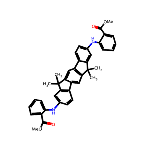 COC(=O)c1ccccc1Nc1ccc2c(c1)C(C)(C)c1cc3c(cc1-2)C(C)(C)c1cc(Nc2ccccc2C(=O)OC)ccc1-3